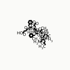 CCCC[C@H](NC(=O)[C@H](CC(C)C)NC(=O)[C@@H](NC(=O)[C@H](Cc1ccccc1C)NC(=O)[C@H](CCC(=O)O)NC(=O)[C@H](CC1CCCCC1)NC(=O)CCC(=O)O)C(C)(C)C)C(=O)C(N)=O